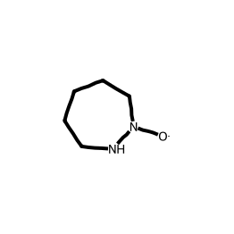 [O]N1CCCCCN1